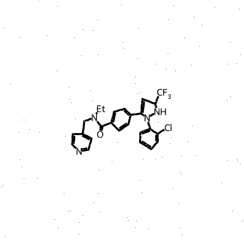 CCN(Cc1ccncc1)C(=O)c1ccc(C2=CC(C(F)(F)F)NN2c2ccccc2Cl)cc1